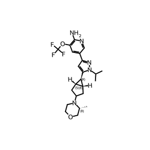 CC(C)n1nc(-c2cnc(N)c(OC(F)(F)F)c2)cc1[C@H]1[C@@H]2CC(N3CCOC[C@H]3C)C[C@@H]21